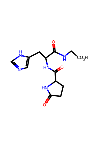 O=C(O)CNC(=O)C(Cc1cnc[nH]1)NC(=O)C1CCC(=O)N1